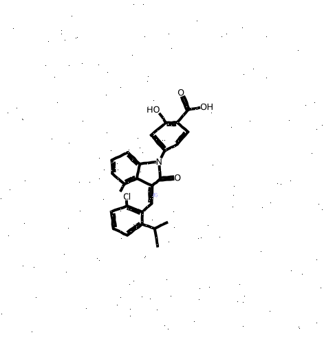 Cc1cccc2c1/C(=C\c1c(Cl)cccc1C(C)C)C(=O)N2c1ccc(C(=O)O)c(O)c1